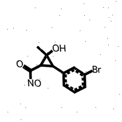 CC1(O)C(C(=O)N=O)C1c1cccc(Br)c1